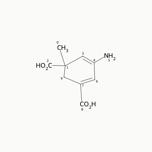 CC1(C(=O)O)C=C(N)C=C(C(=O)O)C1